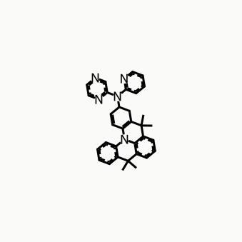 CC1(C)C2=C(C=CC(N(c3ccccn3)c3cnccn3)C2)N2c3ccccc3C(C)(C)c3cccc1c32